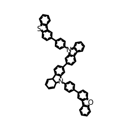 C1=CC2c3ccc(-c4ccc5c6ccccc6n(-c6ccc(-c7ccc8sc9ccccc9c8c7)cc6)c5c4)cc3N(c3ccc(-c4ccc5oc6ccccc6c5c4)cc3)C2C=C1